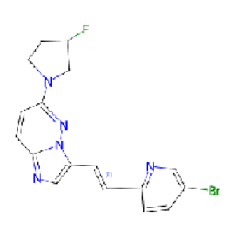 FC1CCN(c2ccc3ncc(/C=C/c4ccc(Br)cn4)n3n2)C1